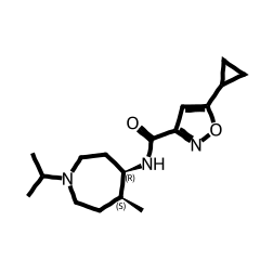 CC(C)N1CC[C@H](C)[C@H](NC(=O)c2cc(C3CC3)on2)CC1